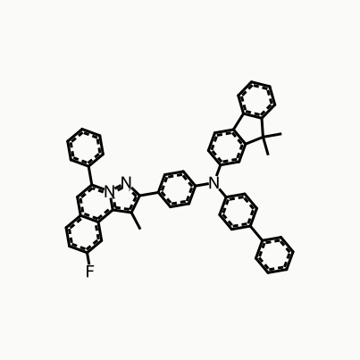 Cc1c(-c2ccc(N(c3ccc(-c4ccccc4)cc3)c3ccc4c(c3)C(C)(C)c3ccccc3-4)cc2)nn2c(-c3ccccc3)cc3ccc(F)cc3c12